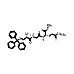 CC(C)(C)OC(=O)CC[C@H](NC(=O)CNC(=O)[C@@H](N)CSC(c1ccccc1)(c1ccccc1)c1ccccc1)C(=O)OC(C)(C)C